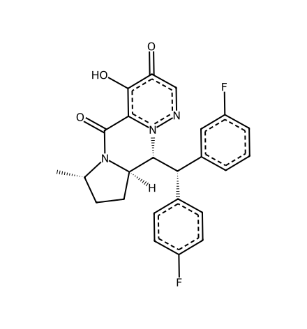 C[C@H]1CC[C@@H]2[C@@H]([C@@H](c3ccc(F)cc3)c3cccc(F)c3)n3ncc(=O)c(O)c3C(=O)N21